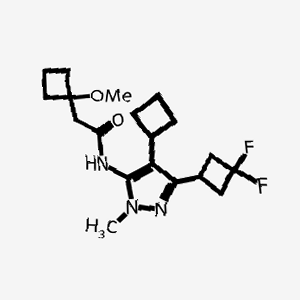 COC1(CC(=O)Nc2c(C3CCC3)c(C3CC(F)(F)C3)nn2C)CCC1